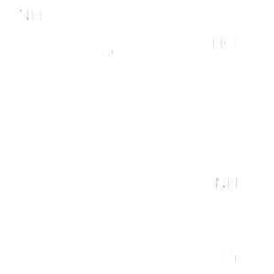 Cc1cc2c(c3ccc(=O)[nH]c13)CC(CN)O2.Cl